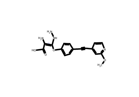 COc1cc(C#Cc2ccc(O/C(NN)=C(/N)C(=O)O)cc2)ccn1